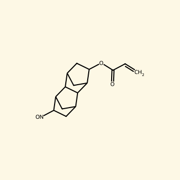 C=CC(=O)OC1CC2CC1C1C3CC(N=O)C(C3)C21